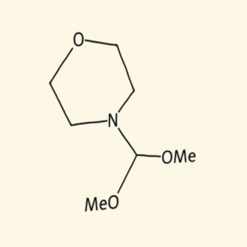 COC(OC)N1CCOCC1